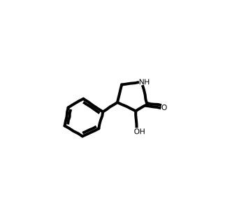 O=C1NCC(c2ccccc2)C1O